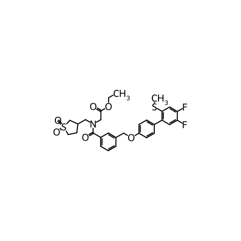 CCOC(=O)CN(CC1CCS(=O)(=O)C1)C(=O)c1cccc(COc2ccc(-c3cc(F)c(F)cc3SC)cc2)c1